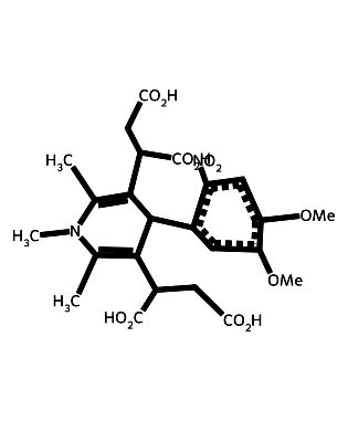 COc1cc(C2C(C(CC(=O)O)C(=O)O)=C(C)N(C)C(C)=C2C(CC(=O)O)C(=O)O)c([N+](=O)[O-])cc1OC